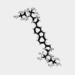 CC(C)(C)C(=O)N[C@H](c1nc(-c2ccc3c(c2)Cc2cc(-c4c[nH]c([C@@H](NC(=O)C(C)(C)C)C(C)(C)C)n4)ccc2-3)c[nH]1)C(C)(C)C